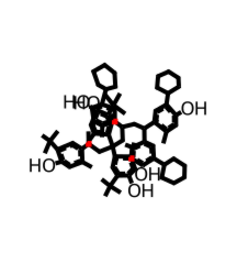 Cc1cc(O)c(C(C)(C)C)cc1C(C)CC(CC(CC(c1cc(C2CCCCC2)c(O)cc1C)c1cc(C2CCCCC2)c(O)cc1C)c1cc(C2CCCCC2)c(O)cc1C)(c1cc(C(C)(C)C)c(O)cc1C)c1cc(C(C)(C)C)c(O)cc1C